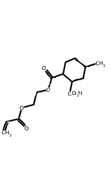 C=CC(=O)OCCOC(=O)C1CCC(C)CC1C(=O)O